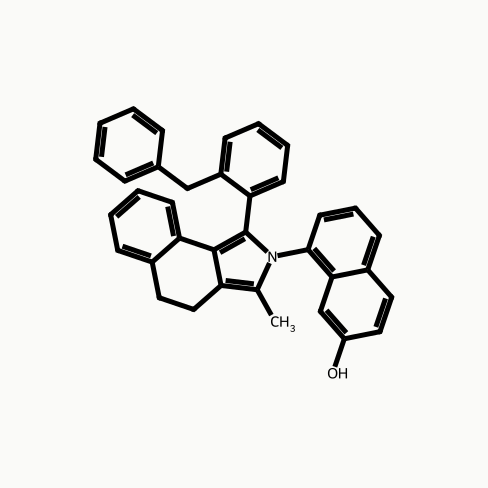 Cc1c2c(c(-c3ccccc3Cc3ccccc3)n1-c1cccc3ccc(O)cc13)-c1ccccc1CC2